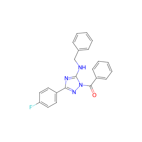 O=C(c1ccccc1)n1nc(-c2ccc(F)cc2)nc1NCc1ccccc1